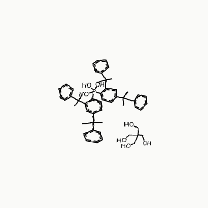 CC(C)(c1ccccc1)c1ccc(P(O)(O)(O)c2ccc(C(C)(C)c3ccccc3)cc2C(C)(C)c2ccccc2)c(C(C)(C)c2ccccc2)c1.OCC(CO)(CO)CO